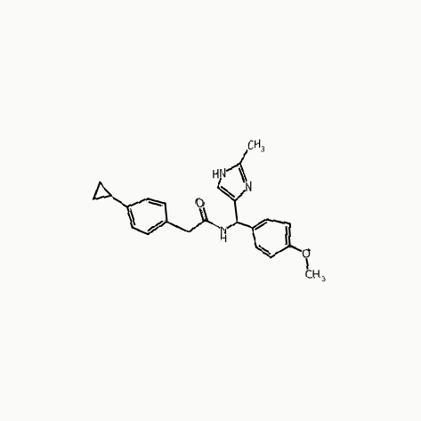 COc1ccc(C(NC(=O)Cc2ccc(C3CC3)cc2)c2c[nH]c(C)n2)cc1